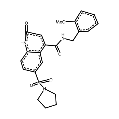 COc1ccccc1CNC(=O)c1cc(=O)[nH]c2ccc(S(=O)(=O)N3CCCC3)cc12